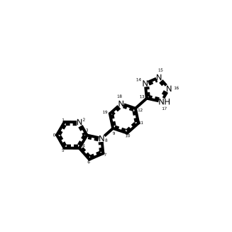 [c]1cnc2c(c1)ccn2-c1ccc(-c2nnn[nH]2)nc1